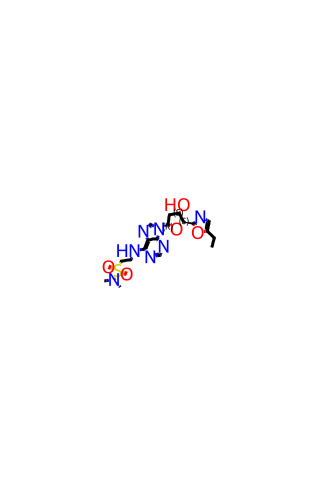 CCc1cnc([C@H]2O[C@@H](n3cnc4c(NCCS(=O)(=O)N(C)C)ncnc43)C[C@@H]2O)o1